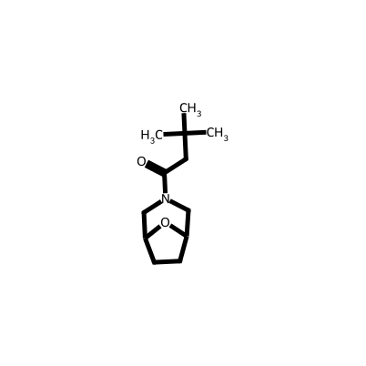 CC(C)(C)CC(=O)N1CC2CCC(C1)O2